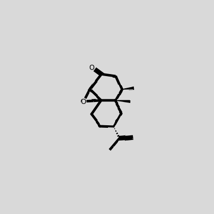 C=C(C)[C@@H]1CCC23OC2C(=O)C[C@@H](C)[C@]3(C)C1